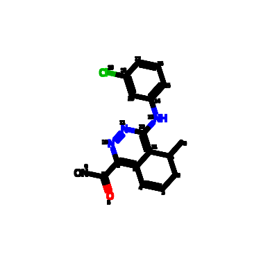 CC1CC=Cc2c(C(=O)N=O)nnc(Nc3cccc(Cl)c3)c21